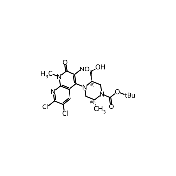 C[C@@H]1CN(c2c([N+](=O)[O-])c(=O)n(C)c3nc(Cl)c(Cl)cc23)[C@@H](CO)CN1C(=O)OC(C)(C)C